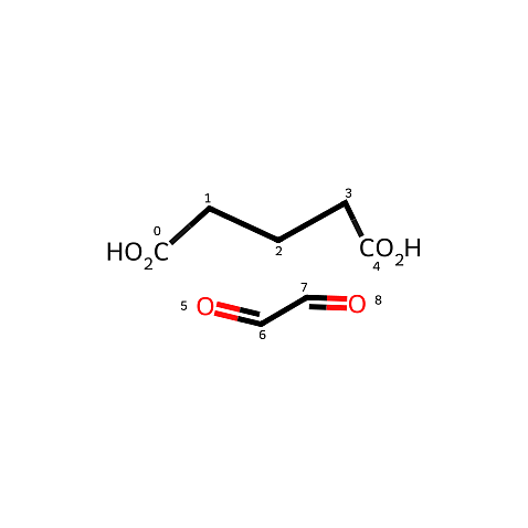 O=C(O)CCCC(=O)O.O=CC=O